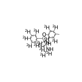 [2H]c1c([2H])c([2H])c(C(Oc2c([2H])c([2H])c(C)c([2H])c2[2H])C([2H])([2H])C([2H])([2H])NC([2H])([2H])[2H])c([2H])c1[2H]